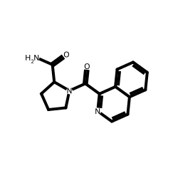 NC(=O)C1CCCN1C(=O)c1nccc2ccccc12